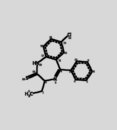 CCC1N=C(c2ccccc2)c2cc(Cl)ccc2NC1=S